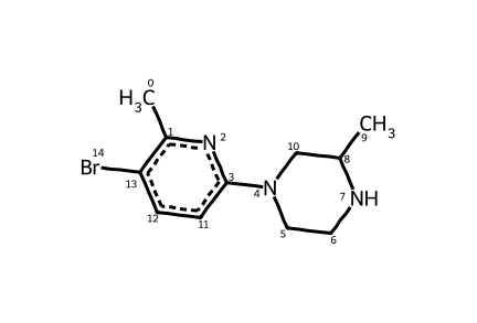 Cc1nc(N2CCNC(C)C2)ccc1Br